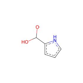 [O]C(O)c1ccc[nH]1